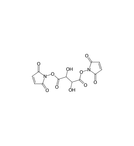 O=C(ON1C(=O)C=CC1=O)C(O)C(O)C(=O)ON1C(=O)C=CC1=O